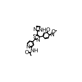 CO/N=C1/C=CC(c2nc(-c3ccnc(NC(C)=O)c3)sc2-c2ncc[nH]2)=CC1=O